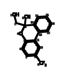 N#CC1(CO)Oc2ccc(C(F)(F)F)cc2-c2ccccc21